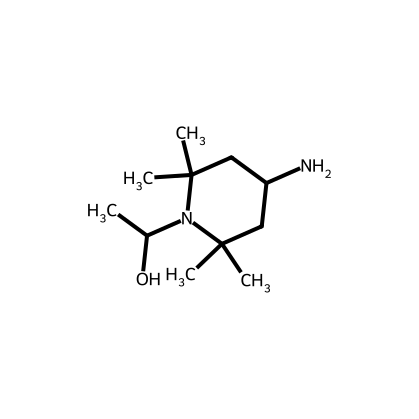 CC(O)N1C(C)(C)CC(N)CC1(C)C